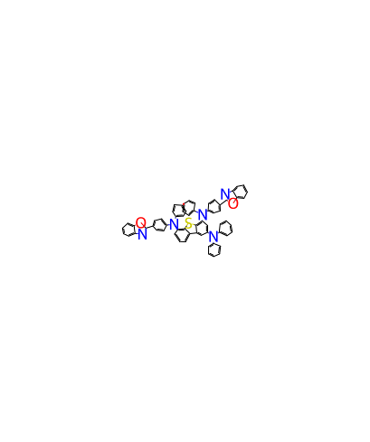 c1ccc(N(c2ccccc2)c2cc(N(c3ccccc3)c3ccc(-c4nc5ccccc5o4)cc3)c3sc4c(N(c5ccccc5)c5ccc(-c6nc7ccccc7o6)cc5)cccc4c3c2)cc1